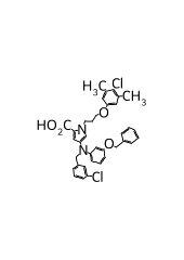 Cc1cc(OCCCn2cc(N(Cc3cccc(Cl)c3)c3cccc(OCc4ccccc4)c3)cc2C(=O)O)cc(C)c1Cl